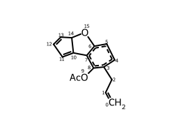 C=CCc1ccc2c(c1OC(C)=O)C1=CC=CC1O2